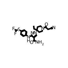 CCC1(n2cc(C(N)=O)c(Nc3ccc(SC(F)F)cc3)n2)CCN(C(=O)CC#N)CC1